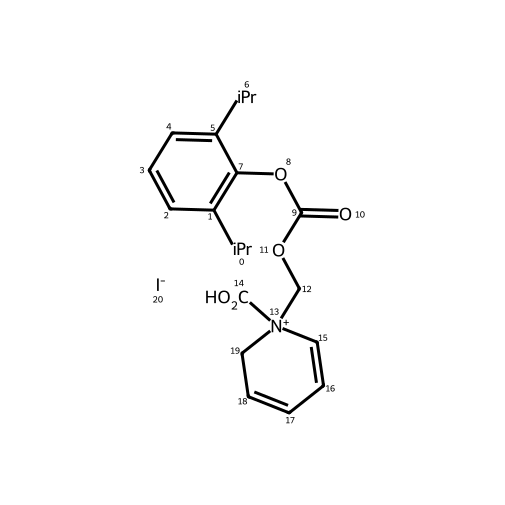 CC(C)c1cccc(C(C)C)c1OC(=O)OC[N+]1(C(=O)O)C=CC=CC1.[I-]